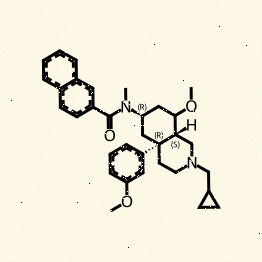 COc1cccc([C@@]23CCN(CC4CC4)C[C@H]2C(OC)C[C@H](N(C)C(=O)c2ccc4ccccc4c2)C3)c1